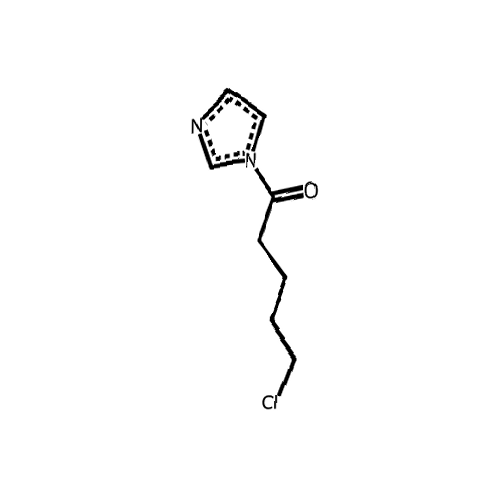 O=C(CCCCCl)n1ccnc1